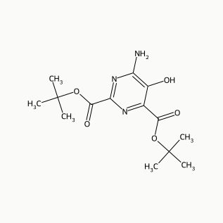 CC(C)(C)OC(=O)c1nc(N)c(O)c(C(=O)OC(C)(C)C)n1